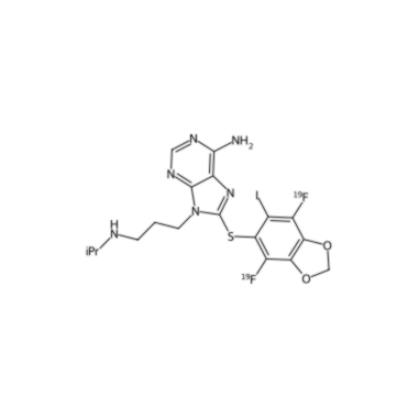 CC(C)NCCCn1c(Sc2c([19F])c3c(c([19F])c2I)OCO3)nc2c(N)ncnc21